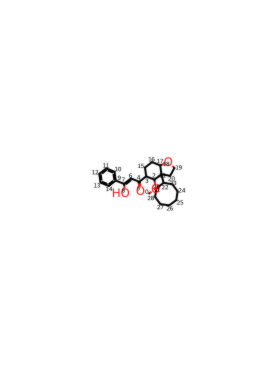 COC1C(C(=O)/C=C(\O)c2ccccc2)CCC2OCCC21C1CCCCCCC1